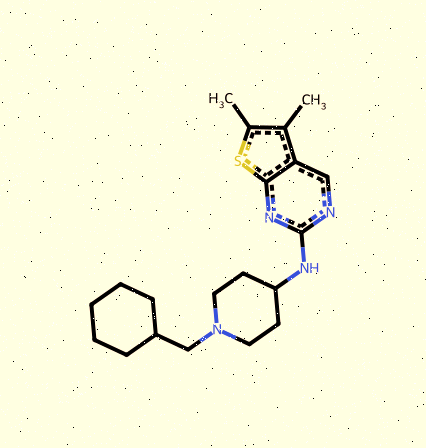 Cc1sc2nc(NC3CCN(CC4CCCCC4)CC3)ncc2c1C